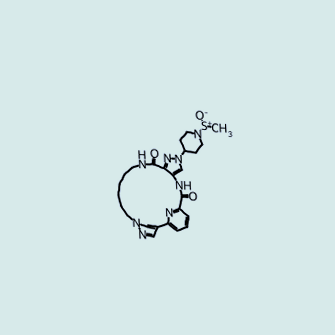 C[S+]([O-])N1CCC(n2cc3c(n2)C(=O)NCCCCCCn2cc(cn2)-c2cccc(n2)C(=O)N3)CC1